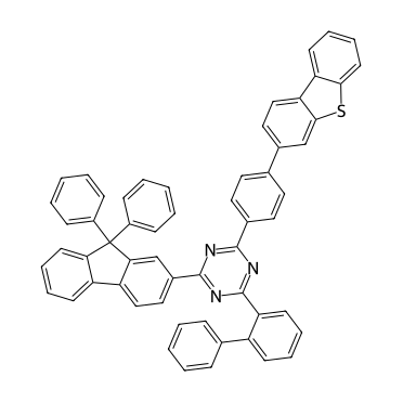 c1ccc(-c2ccccc2-c2nc(-c3ccc(-c4ccc5c(c4)sc4ccccc45)cc3)nc(-c3ccc4c(c3)C(c3ccccc3)(c3ccccc3)c3ccccc3-4)n2)cc1